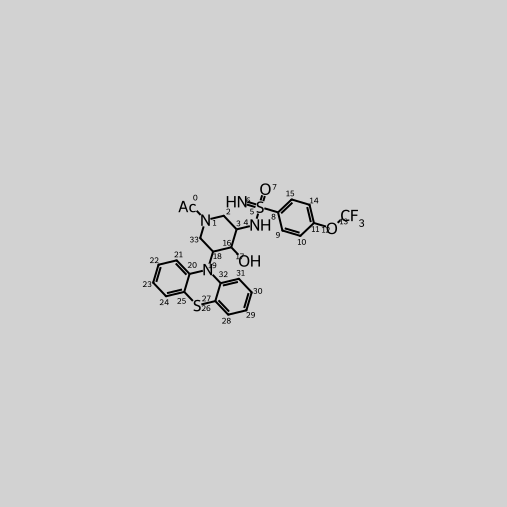 CC(=O)N1CC(NS(=N)(=O)c2ccc(OC(F)(F)F)cc2)C(O)C(N2c3ccccc3Sc3ccccc32)C1